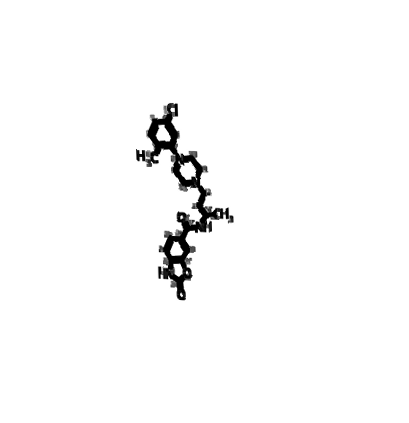 Cc1ccc(Cl)cc1N1CCN(CCC(C)NC(=O)c2ccc3[nH]c(=O)oc3c2)CC1